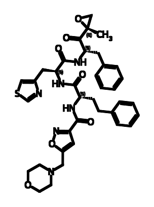 C[C@]1(C(=O)[C@H](Cc2ccccc2)NC(=O)[C@H](Cc2cscn2)NC(=O)[C@H](CCc2ccccc2)NC(=O)c2cc(CN3CCOCC3)on2)CO1